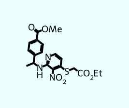 CCOC(=O)CSc1ccnc(NC(C)c2ccc(C(=O)OC)cc2)c1[N+](=O)[O-]